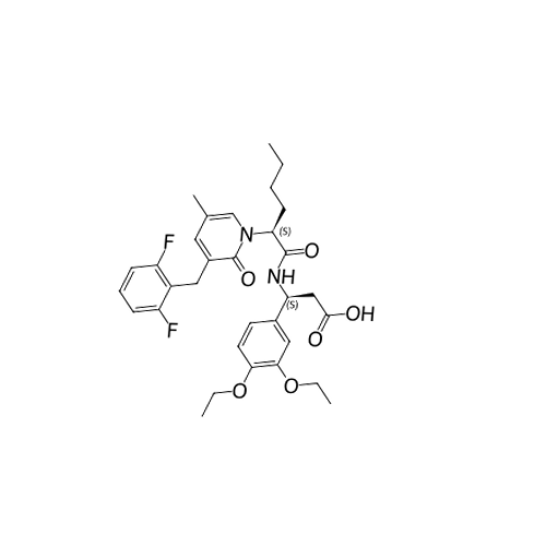 CCCC[C@@H](C(=O)N[C@@H](CC(=O)O)c1ccc(OCC)c(OCC)c1)n1cc(C)cc(Cc2c(F)cccc2F)c1=O